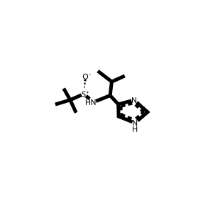 CC(C)C(N[S@@+]([O-])C(C)(C)C)c1c[nH]cn1